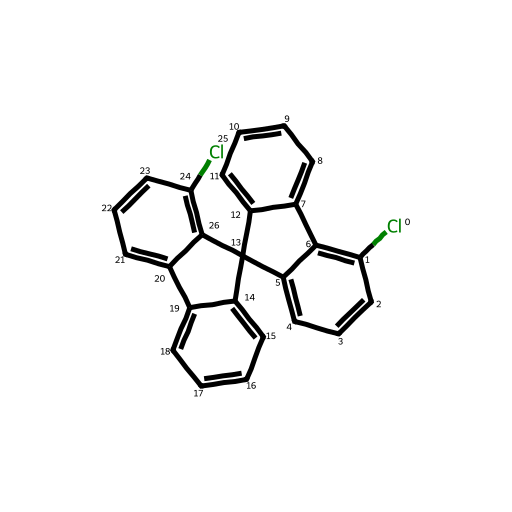 Clc1cccc2c1-c1ccccc1C21c2ccccc2-c2cccc(Cl)c21